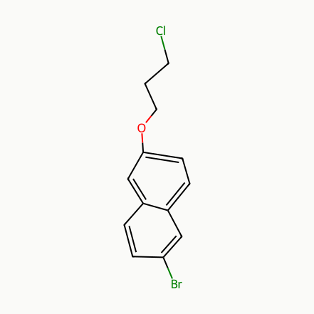 ClCCCOc1ccc2cc(Br)ccc2c1